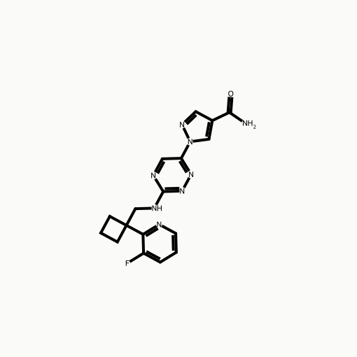 NC(=O)c1cnn(-c2cnc(NCC3(c4ncccc4F)CCC3)nn2)c1